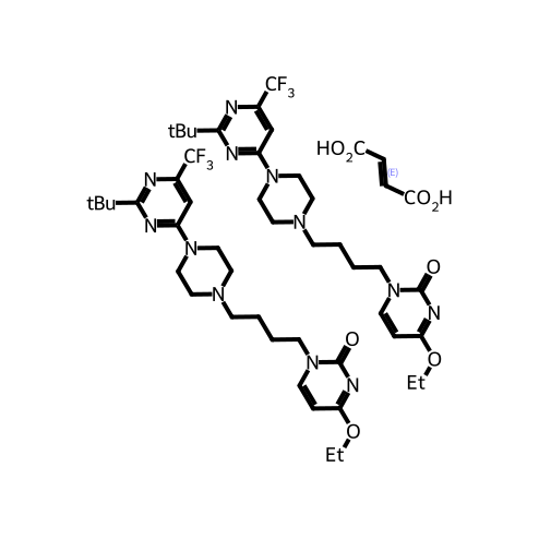 CCOc1ccn(CCCCN2CCN(c3cc(C(F)(F)F)nc(C(C)(C)C)n3)CC2)c(=O)n1.CCOc1ccn(CCCCN2CCN(c3cc(C(F)(F)F)nc(C(C)(C)C)n3)CC2)c(=O)n1.O=C(O)/C=C/C(=O)O